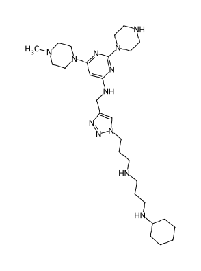 CN1CCN(c2cc(NCc3cn(CCCNCCCNC4CCCCC4)nn3)nc(N3CCNCC3)n2)CC1